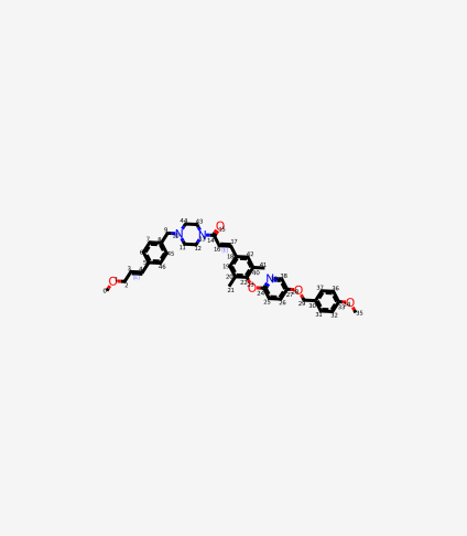 COC/C=C/c1ccc(CN2CCN(C(=O)/C=C/c3cc(C)c(Oc4ccc(OCc5ccc(OC)cc5)cn4)c(C)c3)CC2)cc1